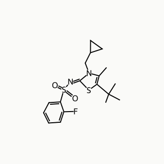 Cc1c(C(C)(C)C)s/c(=N\S(=O)(=O)c2ccccc2F)n1CC1CC1